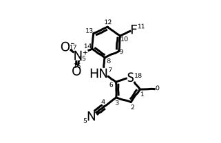 Cc1cc(C#N)c(Nc2cc(F)ccc2[N+](=O)[O-])s1